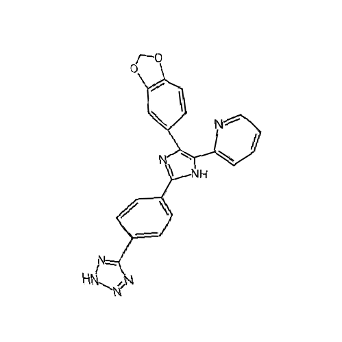 c1ccc(-c2[nH]c(-c3ccc(-c4nn[nH]n4)cc3)nc2-c2ccc3c(c2)OCO3)nc1